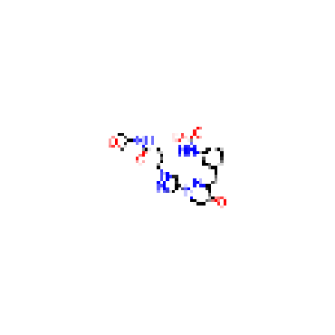 O=C(O)Nc1cccc(Cc2nn(-c3cnn(CCCC(=O)NC4COC4)c3)ccc2=O)c1